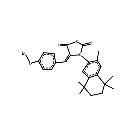 CCOc1ccc(C=C2C(=O)SC(=O)N2c2cc3c(cc2C)C(C)(C)CCC3(C)C)cc1